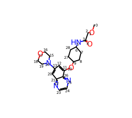 COCC(=O)NC1CCC(Oc2cc(N3CCOCC3)cc3nccnc23)CC1